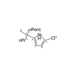 CCCCCC(C)(CCC)c1ccc(Cl)[nH]1